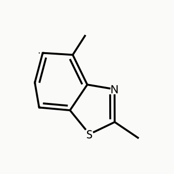 Cc1nc2c(C)[c]ccc2s1